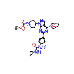 CC(C)OC(=O)N1CCC(n2ncc3c(N4CC5CCC(C4)O5)nc(-c4ccc(NC(=O)NC5CC5)cc4)nc32)CC1